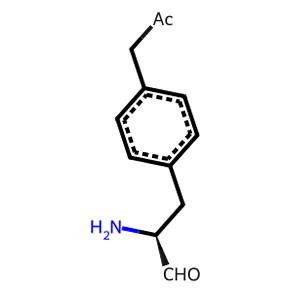 CC(=O)Cc1ccc(C[C@H](N)C=O)cc1